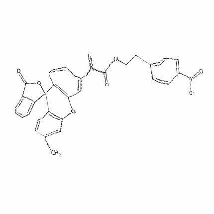 Cc1ccc2c(c1)Oc1cc(NC(=O)OCCc3ccc([N+](=O)[O-])cc3)ccc1C21OC(=O)c2ccccc21